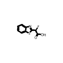 O=C(O)C(F)c1nc2ccccc2s1